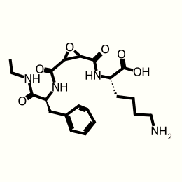 CCNC(=O)[C@H](Cc1ccccc1)NC(=O)C1OC1C(=O)N[C@@H](CCCCN)C(=O)O